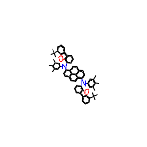 Cc1cc(N(c2ccc3ccc4c(N(c5cc(C)c(C)c(C)c5)c5cccc6c5oc5c(C(C)(C)C)cccc56)ccc5ccc2c3c54)c2cccc3c2oc2c(C(C)(C)C)cccc23)cc(C)c1C